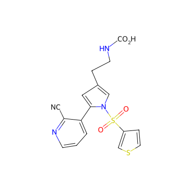 N#Cc1ncccc1-c1cc(CCNC(=O)O)cn1S(=O)(=O)c1ccsc1